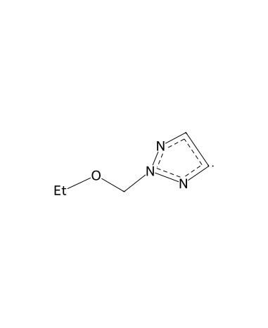 CCOCn1n[c]cn1